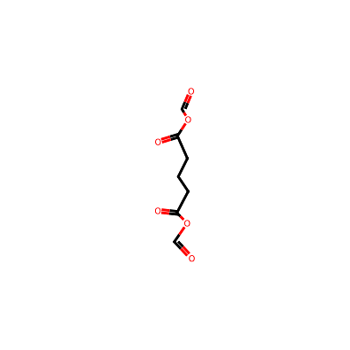 O=COC(=O)CCCC(=O)OC=O